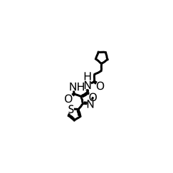 NC(=O)c1c(-c2cccs2)noc1NC(=O)CCC1CCCC1